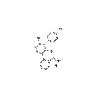 CCc1c(-c2cccc3nn(C)cc23)cnc(N)c1-c1ccc(O)cc1